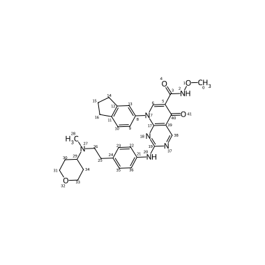 CONC(=O)c1cn(-c2ccc3c(c2)CCC3)c2nc(Nc3ccc(CCN(C)C4CCOCC4)cc3)ncc2c1=O